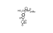 CC(C)(C)OC(=O)N[C@H]1CCC[C@@H]1N(Cc1ccc2c(c1)CN(C1CCC(=O)NC1=O)C2=O)C(=O)O